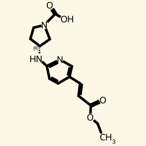 CCOC(=O)C=Cc1ccc(N[C@@H]2CCN(C(=O)O)C2)nc1